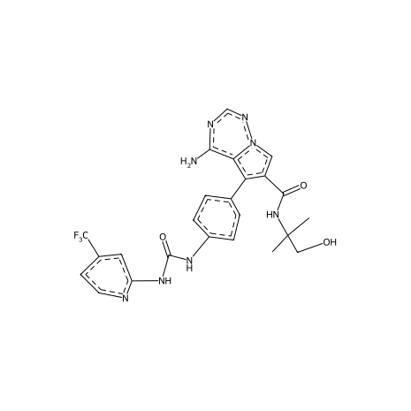 CC(C)(CO)NC(=O)c1cn2ncnc(N)c2c1-c1ccc(NC(=O)Nc2cc(C(F)(F)F)ccn2)cc1